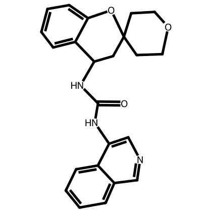 O=C(Nc1cncc2ccccc12)NC1CC2(CCOCC2)Oc2ccccc21